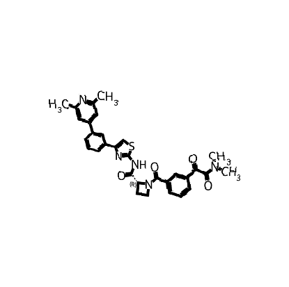 Cc1cc(-c2cccc(-c3csc(NC(=O)[C@H]4CCN4C(=O)c4cccc(C(=O)C(=O)N(C)C)c4)n3)c2)cc(C)n1